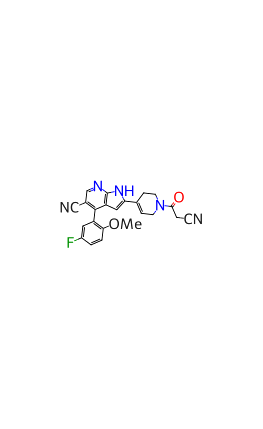 COc1ccc(F)cc1-c1c(C#N)cnc2[nH]c(C3=CCN(C(=O)CC#N)CC3)cc12